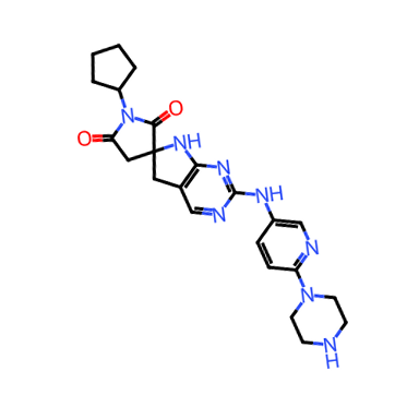 O=C1CC2(Cc3cnc(Nc4ccc(N5CCNCC5)nc4)nc3N2)C(=O)N1C1CCCC1